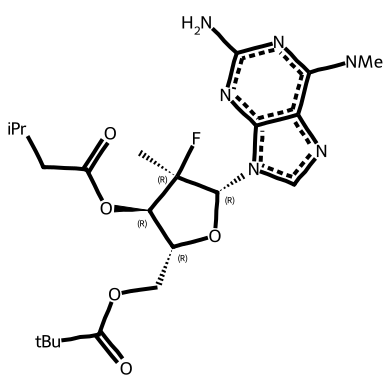 CNc1nc(N)nc2c1ncn2[C@@H]1O[C@H](COC(=O)C(C)(C)C)[C@@H](OC(=O)CC(C)C)[C@@]1(C)F